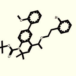 COc1ccccc1-c1ccc2c(c1)C(C(C)OCCc1ccccc1Br)=CC(C)(C)N2C(=O)OC(C)(C)C